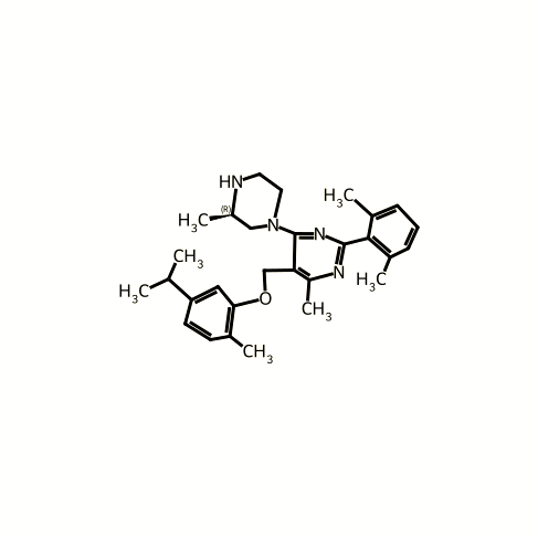 Cc1ccc(C(C)C)cc1OCc1c(C)nc(-c2c(C)cccc2C)nc1N1CCN[C@H](C)C1